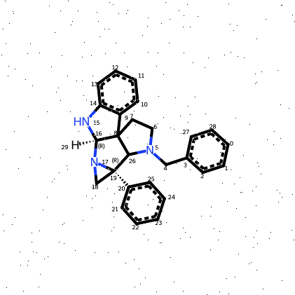 c1ccc(CN2CCC34c5ccccc5N[C@@H]3N3C[C@]3(c3ccccc3)C24)cc1